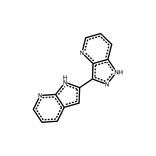 c1cnc2[nH]c(-c3n[nH]c4cccnc34)cc2c1